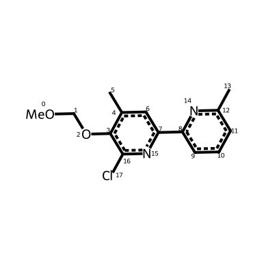 COCOc1c(C)cc(-c2cccc(C)n2)nc1Cl